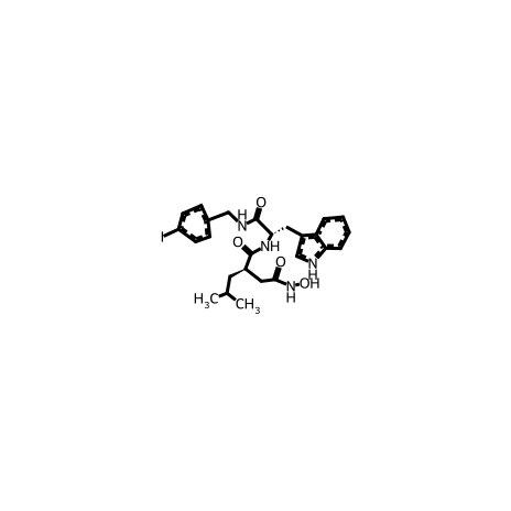 CC(C)C[C@H](CC(=O)NO)C(=O)N[C@@H](Cc1c[nH]c2ccccc12)C(=O)NCc1ccc(I)cc1